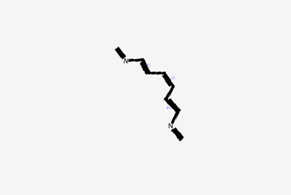 C=N/C=C/C=C\C=C\N=C